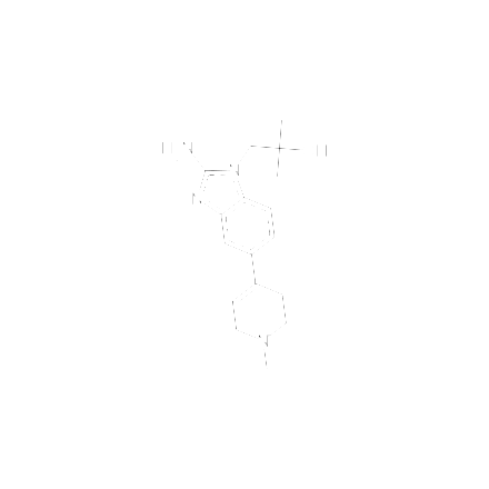 CN1CC=C(c2ccc3c(c2)nc(N)n3CC(C)(C)O)CC1